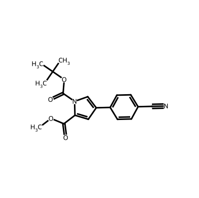 COC(=O)c1cc(-c2ccc(C#N)cc2)cn1C(=O)OC(C)(C)C